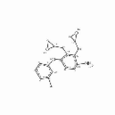 Cc1cccc(Oc2ccc(N)c(CC3CO3)c2CC2CO2)c1